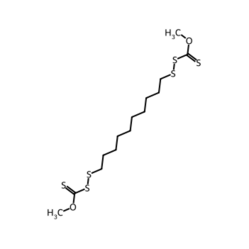 COC(=S)SSCCCCCCCCCCSSC(=S)OC